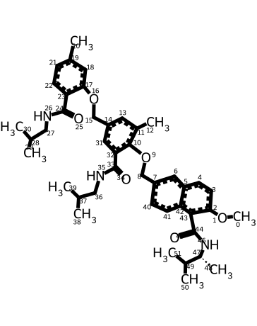 COc1ccc2cc(COc3c(C)cc(COc4cc(C)ccc4C(=O)NCC(C)C)cc3C(=O)NCC(C)C)ccc2c1C(=O)N[C@H](C)C(C)C